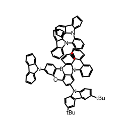 CC(C)(C)c1ccc2c(c1)c1cc(C(C)(C)C)ccc1n2-c1cc2c3c(c1)N(c1ccccc1-c1ccccc1)c1cc(-c4cccc(-n5c6ccccc6c6ccccc65)c4-n4c5ccccc5c5ccccc54)ccc1B3c1ccc(-n3c4ccccc4c4ccccc43)cc1O2